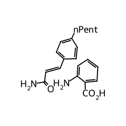 CCCCCc1ccc(/C=C/C(N)=O)cc1.Nc1ccccc1C(=O)O